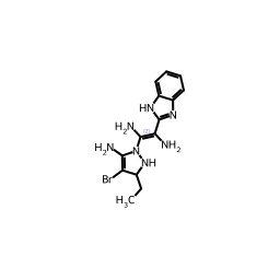 CCC1NN(/C(N)=C(\N)c2nc3ccccc3[nH]2)C(N)=C1Br